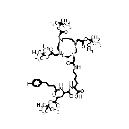 CC(C)(C)OC(=O)CCC(NC(=O)CCCc1ccc(I)cc1)C(=O)NC(CCCCNC(=O)CN1CCN(CC(=O)OC(C)(C)C)CCN(CC(=O)OC(C)(C)C)CCN(CC(=O)OC(C)(C)C)CC1)C(=O)O